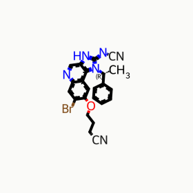 C[C@H](c1ccccc1)n1c(=NC#N)[nH]c2cnc3cc(Br)c(OCCCC#N)cc3c21